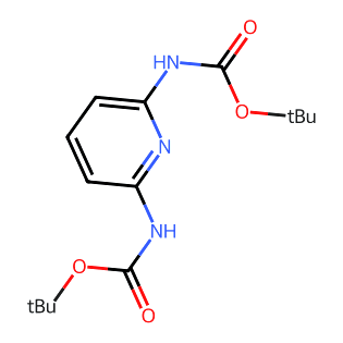 CC(C)(C)OC(=O)Nc1cccc(NC(=O)OC(C)(C)C)n1